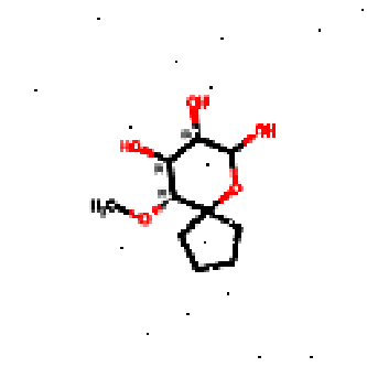 CO[C@@H]1[C@@H](O)[C@@H](O)C(O)OC12CCCC2